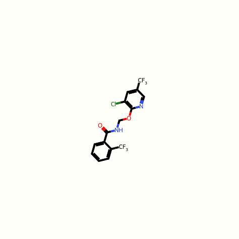 O=C(NCOc1ncc(C(F)(F)F)cc1Cl)c1ccccc1C(F)(F)F